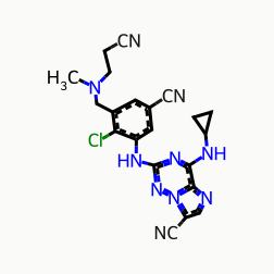 CN(CCC#N)Cc1cc(C#N)cc(Nc2nc(NC3CC3)c3ncc(C#N)n3n2)c1Cl